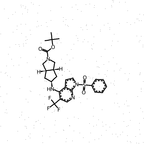 CC(C)(C)OC(=O)N1C[C@H]2C[C@H](Nc3c(C(F)(F)F)cnc4c3ccn4S(=O)(=O)c3ccccc3)C[C@H]2C1